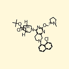 C[C@@H]1C[C@@H]2CN(c3nc(OC[C@@H]4CCCN4C)nc4c3CCN(c3cccc5cccc(Cl)c35)C4)C[C@H]1N2C(=O)OC(C)(C)C